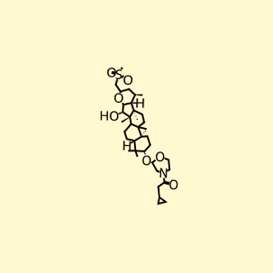 C[C@@H]1CC(CS(C)(=O)=O)OC2[C@H]1[C@@]1(C)CCC34C[C@@]35CC[C@H](O[C@H]3CN(C(=O)CC6CC6)CCO3)C(C)(C)[C@@H]5CCC4[C@]1(C)[C@H]2O